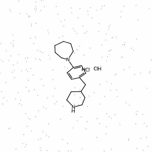 Cl.Cl.c1cc(N2CCCCCC2)ccc1CC1CCNCC1